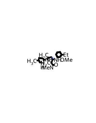 C=C(/C=C(/Nc1cccc(CC)c1OC)C(=C)C(=O)NC)NC1C=CC(C)=CN1